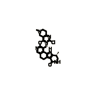 C[C@@H]1CNC(=O)c2c1[nH]c1c2CCc2cnc(Oc3nc(Cl)nc4c3CN(C)CC4)c(F)c2-1